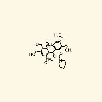 COc1cc(C(OC(=O)N2CCCCC2)c2cc(CO)c(CO)cc2[N+](=O)[O-])c([N+](=O)[O-])cc1OC